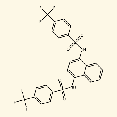 O=S(=O)(Nc1ccc(NS(=O)(=O)c2ccc(C(F)(F)F)cc2)c2ccccc12)c1ccc(C(F)(F)F)cc1